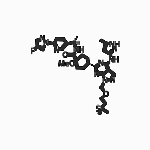 CO[C@]1(C(=O)N[C@@H](C)c2ccc(-n3cc(F)cn3)nc2)CC[C@@H](c2nc(Nc3cc(C)[nH]n3)c3cnn(COCC[Si](C)(C)C)c3n2)CC1